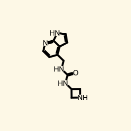 O=C(NCc1ccnc2[nH]ccc12)NC1CNC1